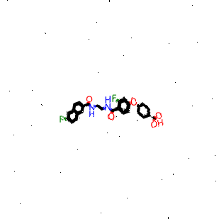 O=C(NCCNC(=O)c1ccc(O[C@H]2CC[C@@H](C(=O)O)CC2)cc1F)c1ccc2cc(F)ccc2c1